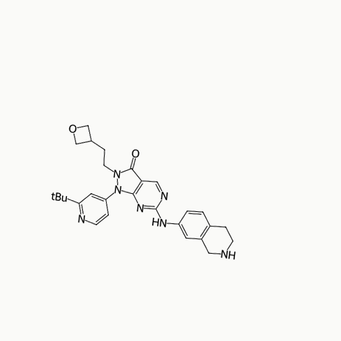 CC(C)(C)c1cc(-n2c3nc(Nc4ccc5c(c4)CNCC5)ncc3c(=O)n2CCC2COC2)ccn1